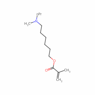 C=C(C)C(=O)OCCCCCCN(C)CCC